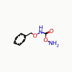 NOC(=O)NOCc1ccccc1